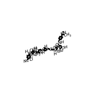 Cc1ncsc1-c1ccc(CNC(=O)[C@@H]2C[C@@H](O)CN2C(=O)C(NC(=O)COCCN2C[C@H]3C[C@@H]2CN3c2ccc(C(=O)N[C@H]3C(C)(C)[C@H](Oc4ccc(C#N)c(Cl)c4)C3(C)C)cn2)C(C)(C)C)cc1